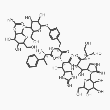 CCCC(=O)OC1C(OC2C(CO)OC(Oc3ccc(C[C@H](NC(=O)[C@@H](N)C(C)c4ccccc4)C(=O)N[C@H](C(=O)N[C@H](C(=O)N[C@H]([C]=O)CO)C(O)C4CNC(=N)N4C4OC(CO)C(O)C(O)C4O)C(O)C4CNC(=N)N4)cc3)C(O)C2O)OC(CO)C(O)C1O